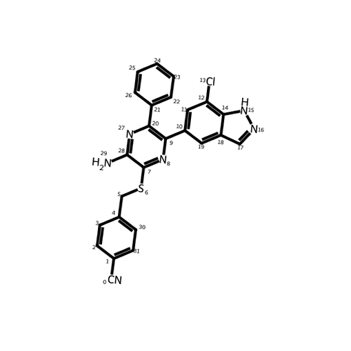 N#Cc1ccc(CSc2nc(-c3cc(Cl)c4[nH]ncc4c3)c(-c3ccccc3)nc2N)cc1